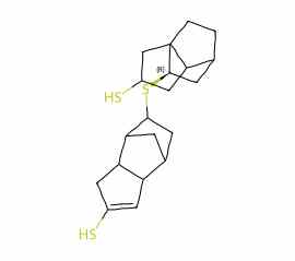 SC1=CC2C3CC(S[C@@H]4CC5CCC46CC(S)CC56)C(C3)C2C1